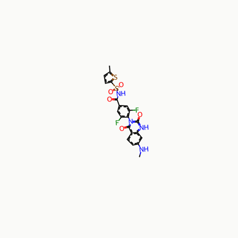 CNc1ccc2c(=O)n(-c3c(F)cc(C(=O)NS(=O)(=O)c4ccc(C)s4)cc3F)c(=O)[nH]c2c1